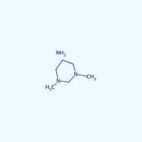 CN1CCCN(C)C1.N